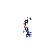 Cc1ccc([C@H](F)CO[C@H]2CCC(Nc3ncnc4[nH]ncc34)C2)cc1